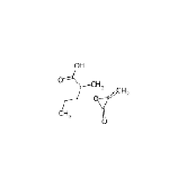 C=C1OC1=O.CCCC(C)C(=O)O